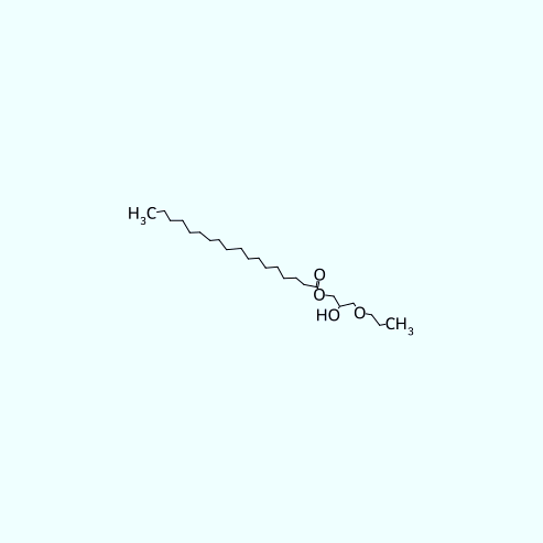 CCCCCCCCCCCCCCCCCC(=O)OCC(O)COCCC